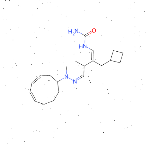 CC(/C=N\N(C)C1CC=C/C=C\CCC1)/C(=C\NC(N)=O)CC1CCC1